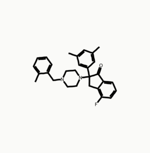 Cc1cc(C)cc(C2(N3CCN(Cc4ccccc4C)CC3)Cc3c(F)cccc3C2=O)c1